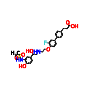 CS(=O)(=O)Nc1cc([C@@H](O)CNCCOc2ccc(-c3ccc(CCC(=O)O)cc3)cc2F)ccc1O